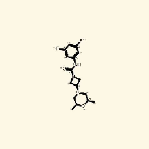 CC1CN(C2CN(C(=O)Nc3cc(F)cc(F)c3)C2)CC(C)O1